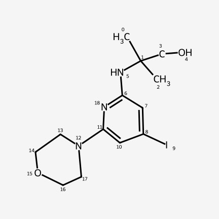 CC(C)(CO)Nc1cc(I)cc(N2CCOCC2)n1